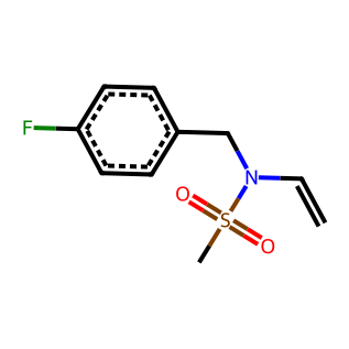 C=CN(Cc1ccc(F)cc1)S(C)(=O)=O